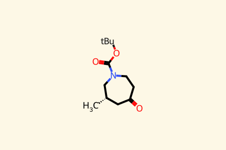 C[C@H]1CC(=O)CCN(C(=O)OC(C)(C)C)C1